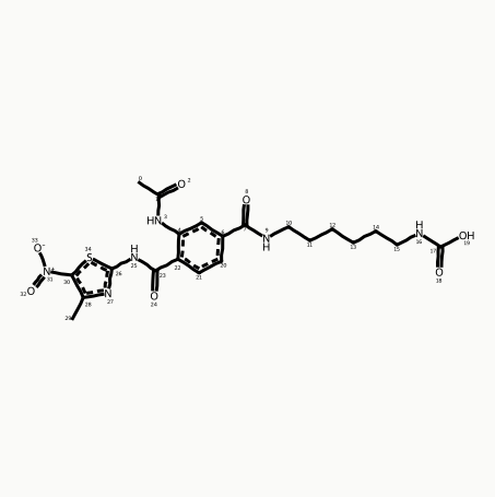 CC(=O)Nc1cc(C(=O)NCCCCCCNC(=O)O)ccc1C(=O)Nc1nc(C)c([N+](=O)[O-])s1